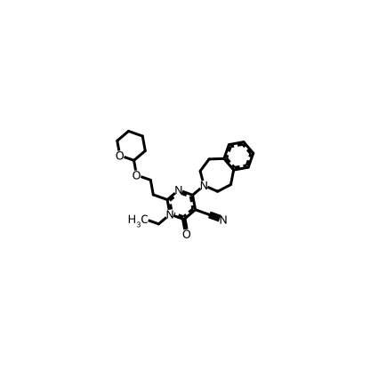 CCn1c(CCOC2CCCCO2)nc(N2CCc3ccccc3CC2)c(C#N)c1=O